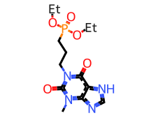 CCOP(=O)(CCCn1c(=O)c2[nH]cnc2n(C)c1=O)OCC